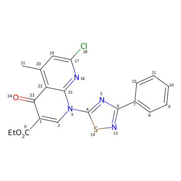 CCOC(=O)c1cn(-c2nc(-c3ccccc3)ns2)c2nc(Cl)cc(C)c2c1=O